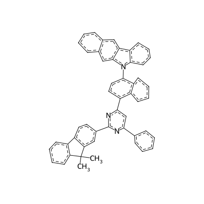 CC1(C)c2ccccc2-c2ccc(-c3nc(-c4ccccc4)cc(-c4ccc(-n5c6ccccc6c6cc7ccccc7cc65)c5ccccc45)n3)cc21